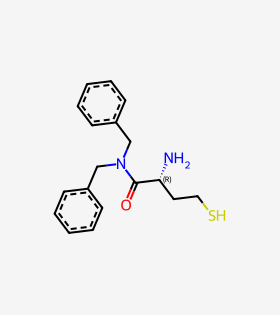 N[C@H](CCS)C(=O)N(Cc1ccccc1)Cc1ccccc1